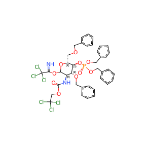 N=C(OC1O[C@H](COCc2ccccc2)[C@@H](OP(=O)(OCc2ccccc2)OCc2ccccc2)[C@H](OCc2ccccc2)[C@H]1NC(=O)OCC(Cl)(Cl)Cl)C(Cl)(Cl)Cl